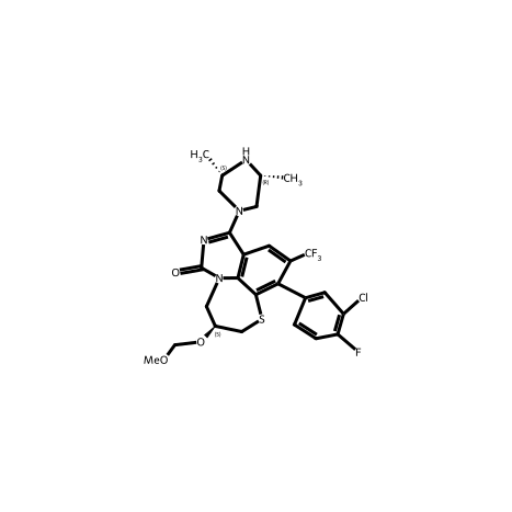 COCO[C@@H]1CSc2c(-c3ccc(F)c(Cl)c3)c(C(F)(F)F)cc3c(N4C[C@@H](C)N[C@@H](C)C4)nc(=O)n(c23)C1